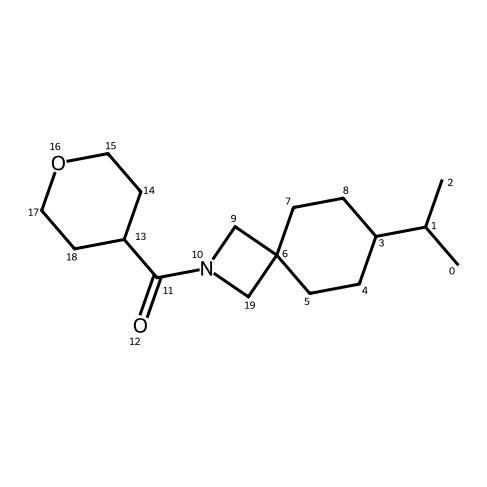 CC(C)C1CCC2(CC1)CN(C(=O)C1CCOCC1)C2